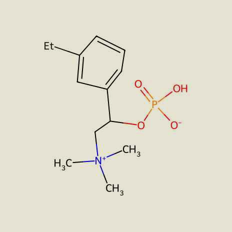 CCc1cccc(C(C[N+](C)(C)C)OP(=O)([O-])O)c1